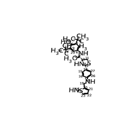 CC(C)(C)c1cc(NC(=O)[C@@H]2CS[C@H](c3ccc(NCC4=CC=CS4=N)cc3)N2)cc(C(C)(C)C)c1O